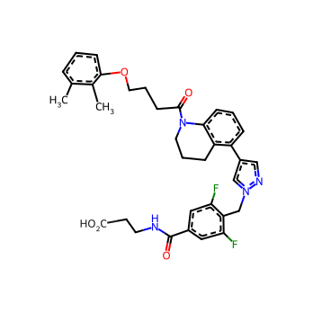 Cc1cccc(OCCCC(=O)N2CCCc3c(-c4cnn(Cc5c(F)cc(C(=O)NCCC(=O)O)cc5F)c4)cccc32)c1C